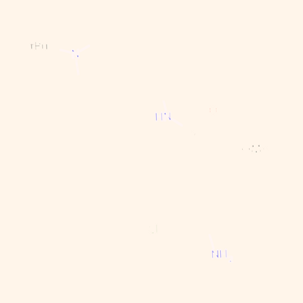 COc1cc(N)c(Cl)cc1C(=O)NCC1CCN(C(C)(C)C)CC1